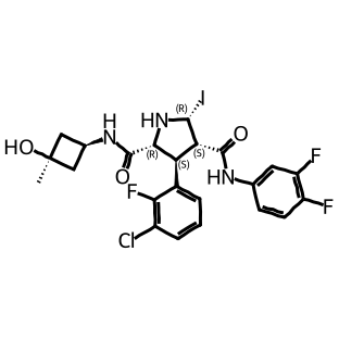 C[C@]1(O)C[C@@H](NC(=O)[C@@H]2N[C@H](I)[C@H](C(=O)Nc3ccc(F)c(F)c3)[C@H]2c2cccc(Cl)c2F)C1